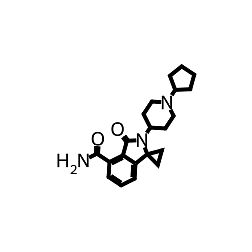 NC(=O)c1cccc2c1C(=O)N(C1CCN(C3CCCC3)CC1)C21CC1